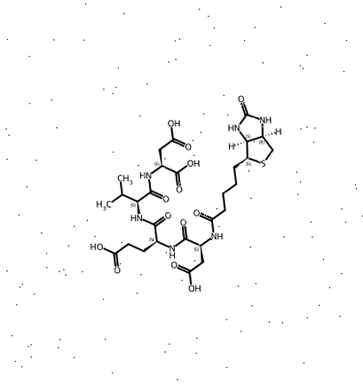 CC(C)[C@H](NC(=O)[C@H](CCC(=O)O)NC(=O)[C@H](CC(=O)O)NC(=O)CCCC[C@@H]1SC[C@@H]2NC(=O)N[C@@H]21)C(=O)N[C@@H](CC(=O)O)C(=O)O